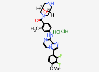 COc1ccc(-c2cnc3c(Nc4ccc(C(=O)N5C[C@H]6CNC[C@@H](C5)O6)c(C)c4)nccn23)c(F)c1F.Cl.Cl